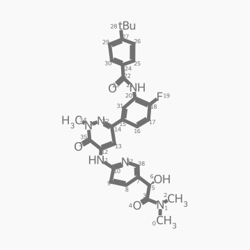 CN(C)C(=O)[C@@H](O)c1ccc(Nc2cc(-c3ccc(F)c(NC(=O)c4ccc(C(C)(C)C)cc4)c3)nn(C)c2=O)nc1